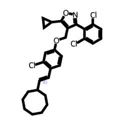 Clc1cc(OCc2c(-c3c(Cl)cccc3Cl)noc2C2CC2)ccc1/C=C/C1CCCCCCC1